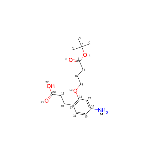 CC(C)(C)OC(=O)CCCOc1cc(N)ccc1CCC(=O)O